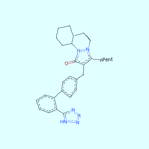 CCCCCc1c(Cc2ccc(-c3ccccc3-c3nnn[nH]3)cc2)c(=O)n2n1CCC1CCCCC12